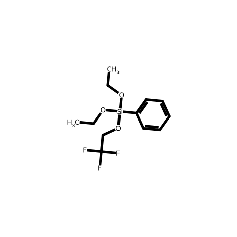 CCO[Si](OCC)(OCC(F)(F)F)c1ccccc1